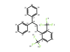 FC(F)(F)c1c[c]cc(C(F)(F)F)c1CCC(c1ccccc1)c1ccccc1